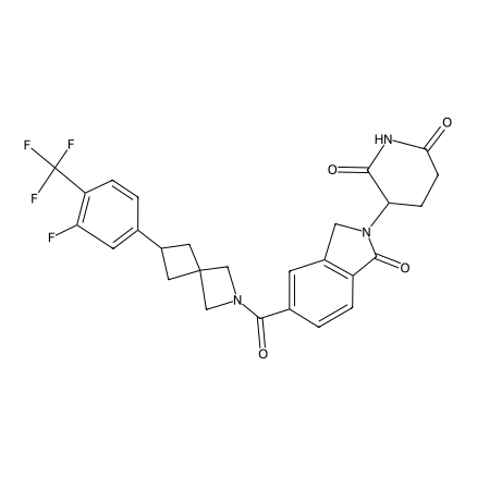 O=C1CCC(N2Cc3cc(C(=O)N4CC5(CC(c6ccc(C(F)(F)F)c(F)c6)C5)C4)ccc3C2=O)C(=O)N1